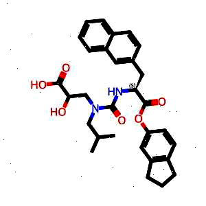 CC(C)CN(CC(O)C(=O)O)C(=O)N[C@@H](Cc1ccc2ccccc2c1)C(=O)Oc1ccc2c(c1)CCC2